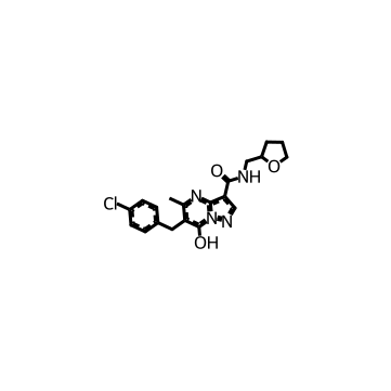 Cc1nc2c(C(=O)NCC3CCCO3)cnn2c(O)c1Cc1ccc(Cl)cc1